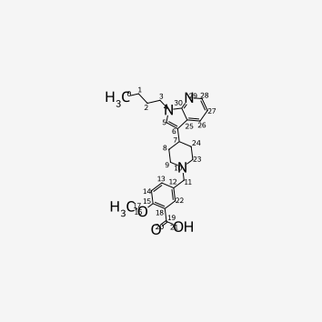 CCCCn1cc(C2CCN(Cc3ccc(OC)c(C(=O)O)c3)CC2)c2cccnc21